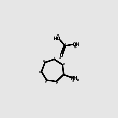 NC1CCCCCC1.O=C(O)O